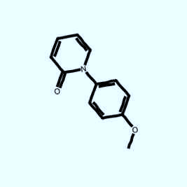 COc1ccc(-n2ccccc2=O)cc1